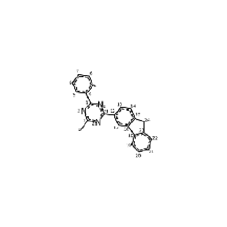 Cc1nc(-c2ccccc2)nc(-c2ccc3c(c2)-c2ccccc2C3)n1